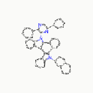 c1ccc(-c2cnc(-c3ccccc3)c(-n3c4ccccc4c4c5c6ccccc6n(-c6ccc7ccccc7c6)c5c5ccccc5c43)n2)cc1